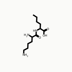 CCCCC(NC(=O)C(N)CCCCN)C(=O)O